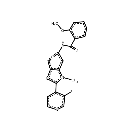 COc1ccccc1C(=O)Nc1ccc2nc(-c3ccncc3F)n(C)c2c1